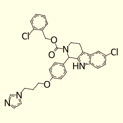 O=C(OCc1ccccc1Cl)N1CCc2c([nH]c3ccc(Cl)cc23)C1c1ccc(OCCCn2ccnc2)cc1